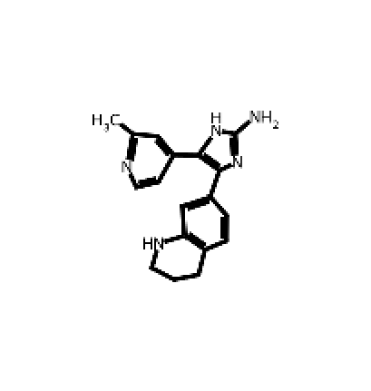 Cc1cc(-c2[nH]c(N)nc2-c2ccc3c(c2)NCCC3)ccn1